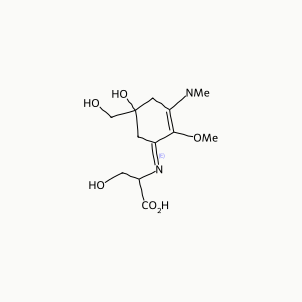 CNC1=C(OC)/C(=N/C(CO)C(=O)O)CC(O)(CO)C1